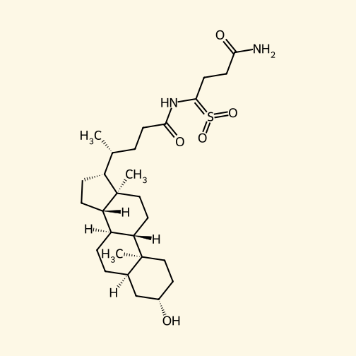 C[C@H](CCC(=O)NC(CCC(N)=O)=S(=O)=O)[C@H]1CC[C@H]2[C@@H]3CC[C@@H]4C[C@@H](O)CC[C@]4(C)[C@H]3CC[C@]12C